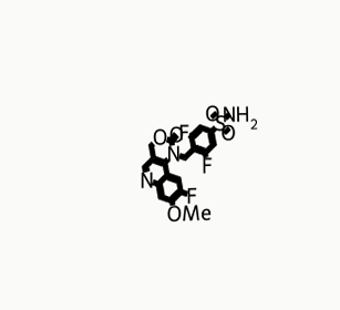 COc1cc2ncc3c(c2cc1F)N(Cc1c(F)cc(S(N)(=O)=O)cc1F)C(=O)OC3